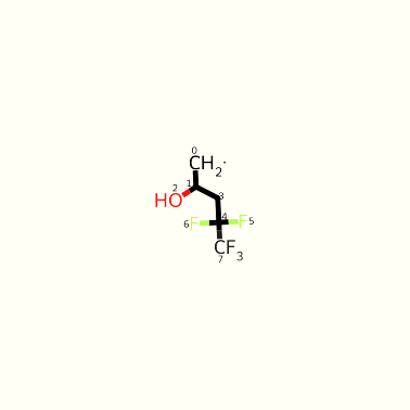 [CH2]C(O)CC(F)(F)C(F)(F)F